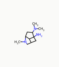 CN(C)C1CC2C3C(CN2C)CC31N